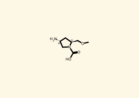 COC[C@@H]1C[C@@H](N)CN1C(=O)O